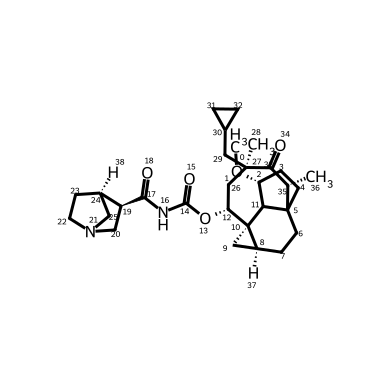 CO[C@@H]1CCC23CC[C@H]4C[C@@]4(C12)[C@H](OC(=O)NC(=O)[C@H]1CN2CC[C@@H]1C2)C[C@@](C)(CC1CC1)C(=O)[C@@H]3C